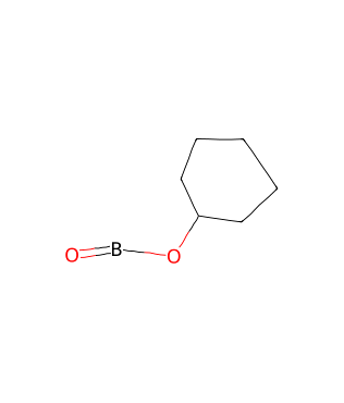 O=BOC1CCCCC1